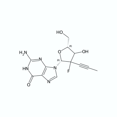 CC#CC1(F)C(O)[C@@H](CO)O[C@H]1n1cnc2c(=O)[nH]c(N)nc21